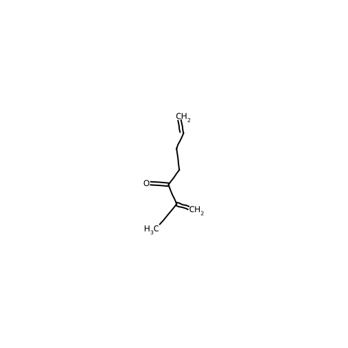 C=CCCC(=O)C(=C)C